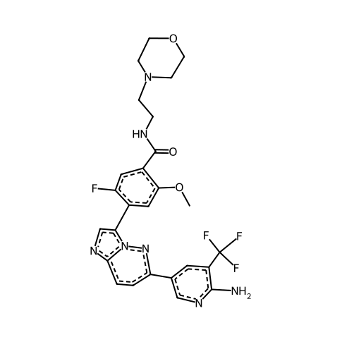 COc1cc(-c2cnc3ccc(-c4cnc(N)c(C(F)(F)F)c4)nn23)c(F)cc1C(=O)NCCN1CCOCC1